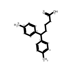 Cc1ccc(C(CCCC(=O)O)c2ccc(C)cc2)cc1